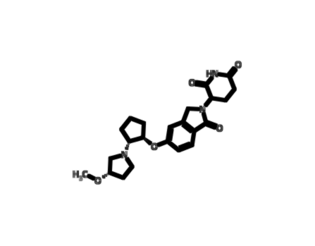 CO[C@H]1CCN([C@@H]2CCC[C@H]2Oc2ccc3c(c2)CN(C2CCC(=O)NC2=O)C3=O)C1